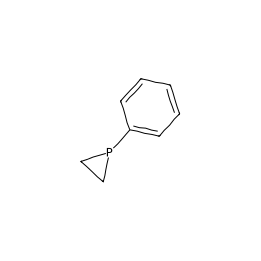 c1ccc(P2CC2)cc1